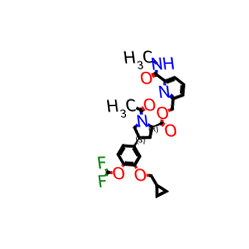 CNC(=O)c1cccc(COC(=O)[C@H]2C[C@@H](c3ccc(OC(F)F)c(OCC4CC4)c3)CN2C(C)=O)n1